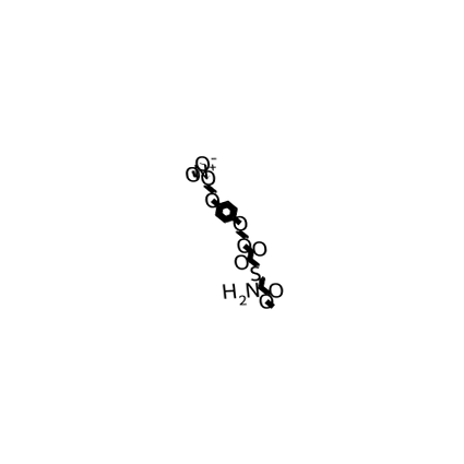 COC(=O)[C@H](N)CSCC(=O)C(=O)OCCOc1ccc(OCCO[N+](=O)[O-])cc1